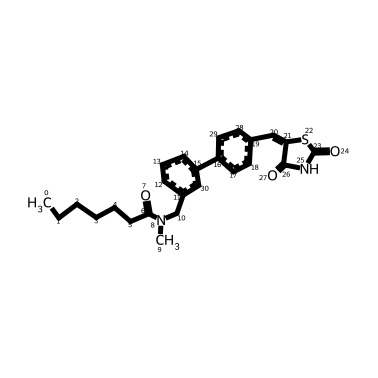 CCCCCCC(=O)N(C)Cc1cccc(-c2ccc(C=C3SC(=O)NC3=O)cc2)c1